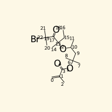 C=C(C)C(=O)OC(C)(C)CC(C)OC(C)(CC)C(=O)C(C)(C)Br